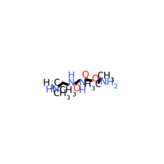 CNC(C)(C)CCNC(=O)CNC(=O)COC(C)(C)N